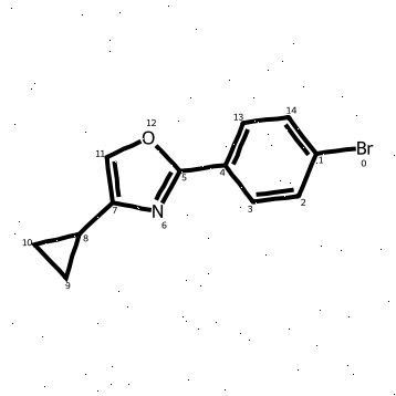 Brc1ccc(-c2nc(C3CC3)co2)cc1